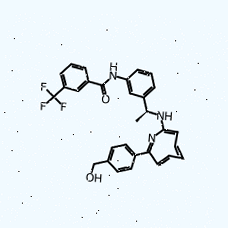 C[C@H](NC1=C/C=C/C=C/C(c2ccc(CO)cc2)=N\1)c1cccc(NC(=O)c2cccc(C(F)(F)F)c2)c1